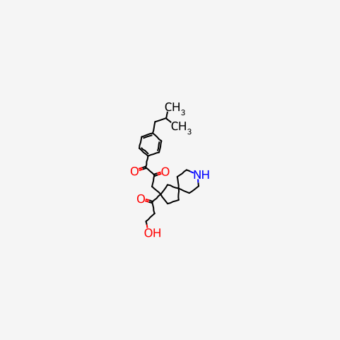 CC(C)Cc1ccc(C(=O)C(=O)CC2(C(=O)CCO)CCC3(CCNCC3)C2)cc1